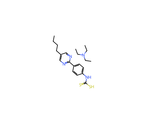 CCCCc1cnc(-c2ccc(NC(=S)S)cc2)nc1.CCN(CC)CC